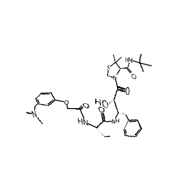 CC[C@H](NC(=O)COc1cccc(N(C)C)c1)C(=O)N[C@@H](Cc1ccccc1)[C@H](O)C(=O)N1CSC(C)(C)[C@H]1C(=O)NC(C)(C)C